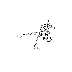 CCCCCCOC[C@@H](OCCCCCC)[C@H]1O[C@@H]2OC(C)(C)O[C@@H]2[C@H]1NC(=O)c1ccc(F)cc1F